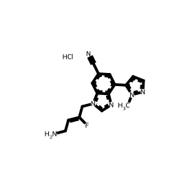 Cl.Cn1nccc1-c1cc(C#N)cc2c1ncn2C/C(F)=C/CN